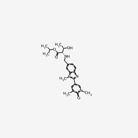 Cc1cc(-c2nc3ccc(CN[C@H](C(=O)OC(C)C)[C@@H](C)O)cc3n2C)cn(C)c1=O